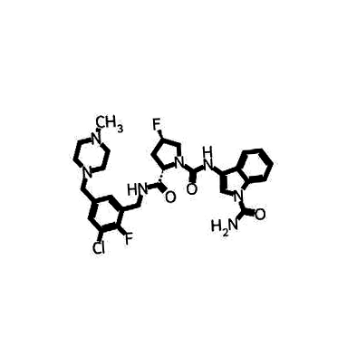 CN1CCN(Cc2cc(Cl)c(F)c(CNC(=O)[C@@H]3C[C@@H](F)CN3C(=O)Nc3cn(C(N)=O)c4ccccc34)c2)CC1